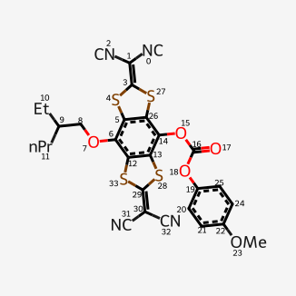 [C-]#[N+]C([N+]#[C-])=C1Sc2c(OCC(CC)CCC)c3c(c(OC(=O)Oc4ccc(OC)cc4)c2S1)SC(=C(C#N)C#N)S3